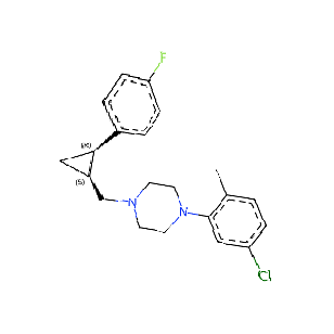 Cc1ccc(Cl)cc1N1CCN(C[C@H]2C[C@H]2c2ccc(F)cc2)CC1